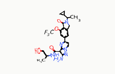 CC(CO)NC(=O)c1c(N)nn2ccc(-c3cc4c(c(OC(F)(F)F)c3)C(=O)N(C(C)C3CC3)C4)nc12